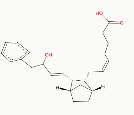 O=C(O)CCC/C=C\C[C@@H]1[C@@H]2CC[C@@H](C2)[C@@H]1/C=C/C(O)Cc1ccccc1